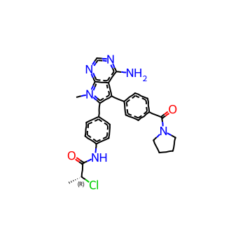 C[C@@H](Cl)C(=O)Nc1ccc(-c2c(-c3ccc(C(=O)N4CCCC4)cc3)c3c(N)ncnc3n2C)cc1